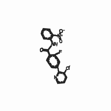 O=C(Nc1ccccc1[N+](=O)[O-])c1ccc(-c2ncccc2Cl)cc1F